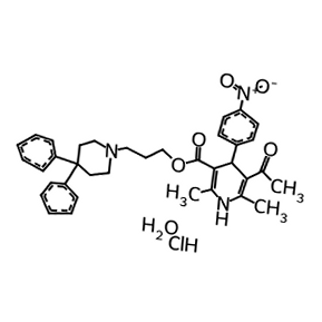 CC(=O)C1=C(C)NC(C)=C(C(=O)OCCCN2CCC(c3ccccc3)(c3ccccc3)CC2)C1c1ccc([N+](=O)[O-])cc1.Cl.O